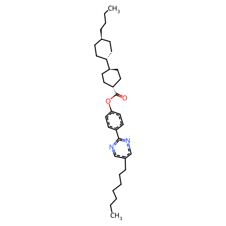 CCCCCCCc1cnc(-c2ccc(OC(=O)[C@H]3CC[C@H]([C@H]4CC[C@H](CCCC)CC4)CC3)cc2)nc1